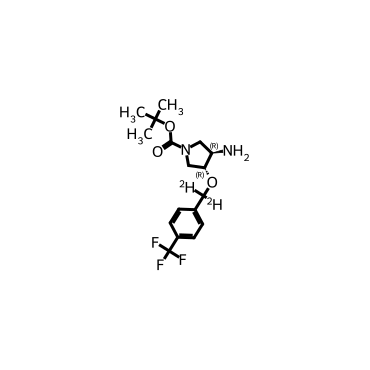 [2H]C([2H])(O[C@@H]1CN(C(=O)OC(C)(C)C)C[C@H]1N)c1ccc(C(F)(F)F)cc1